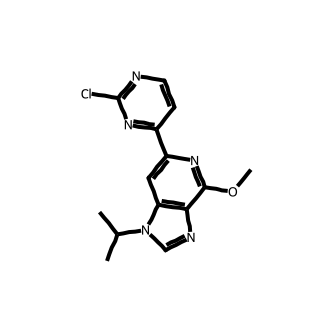 COc1nc(-c2ccnc(Cl)n2)cc2c1ncn2C(C)C